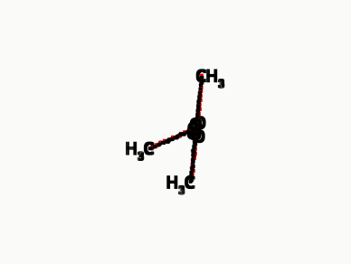 CCCCCCCCCC=CC=CC=CC=CC=CC=CC(=O)OCC(COC(=O)C=CC=CC=CC=CC=CC=CCCCCCCCCC)OC(=O)C=CC=CC=CC=CC=CC=CCCCCCCCCC